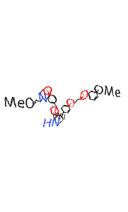 COCCCN1CCOc2ccc(CO[C@@H]3CNCC[C@@H]3c3ccc(OCCCOc4cccc(OC)c4)cc3)cc21